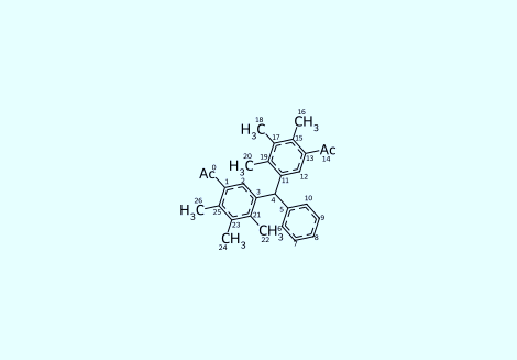 CC(=O)c1cc(C(c2ccccc2)c2cc(C(C)=O)c(C)c(C)c2C)c(C)c(C)c1C